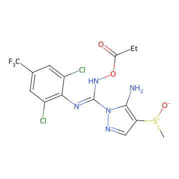 CCC(=O)ONC(=Nc1c(Cl)cc(C(F)(F)F)cc1Cl)n1ncc([S+](C)[O-])c1N